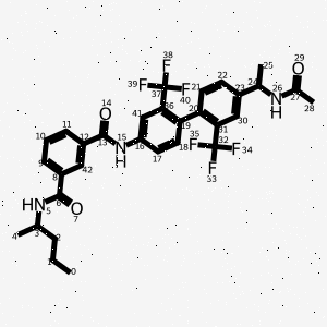 CCCC(C)NC(=O)c1cccc(C(=O)Nc2ccc(-c3ccc(C(C)NC(C)=O)cc3C(F)(F)F)c(C(F)(F)F)c2)c1